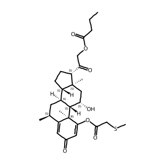 CCCC(=O)OCC(=O)[C@H]1CC[C@H]2[C@@H]3C[C@H](C)C4=CC(=O)C=C(OC(=O)CSC)[C@]4(C)[C@H]3[C@@H](O)C[C@]12C